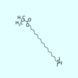 C=C(C)C(=O)OCCCCCCCCCCCCCCCC[Si](I)(I)I